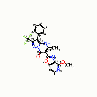 COc1nccc2oc(-c3c(C)[nH]c4c(-c5ccccc5)c(C(F)(F)F)nn4c3=O)nc12